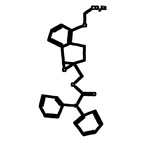 CCOC(=O)COc1cccc2c1CCC1(COC(=O)N(c3ccccc3)c3ccccc3)OC21